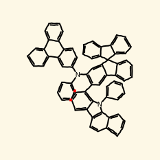 c1ccc(N(c2ccc3c4ccccc4c4ccccc4c3c2)c2cc3c(cc2-c2cccc4c5ccc6ccccc6c5n(-c5ccccc5)c24)-c2ccccc2C32c3ccccc3-c3ccccc32)cc1